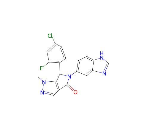 Cn1ncc2c1C(c1ccc(Cl)cc1F)N(c1ccc3[nH]cnc3c1)C2=O